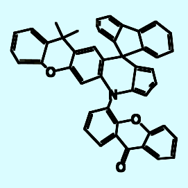 CC1(C)c2ccccc2Oc2cc3c(cc21)C1(c2ccccc2-c2ccccc21)c1ccccc1N3c1cccc2c(=O)c3ccccc3oc12